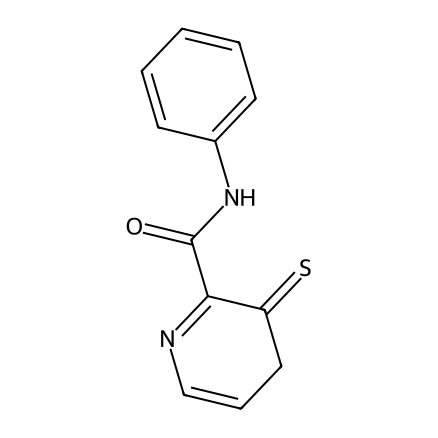 O=C(Nc1ccccc1)C1=NC=CCC1=S